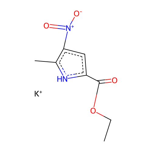 CCOC(=O)c1cc([N+](=O)[O-])c(C)[nH]1.[K+]